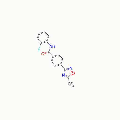 O=C(Nc1ccccc1F)c1ccc(-c2noc(C(F)(F)F)n2)cc1